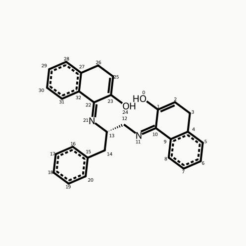 OC1=CCc2ccccc2C1=NC[C@H](Cc1ccccc1)N=C1C(O)=CCc2ccccc21